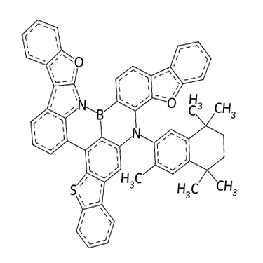 Cc1cc2c(cc1N1c3cc4c(sc5ccccc54)c4c3B(c3ccc5c(oc6ccccc65)c31)n1c3oc5ccccc5c3c3cccc-4c31)C(C)(C)CCC2(C)C